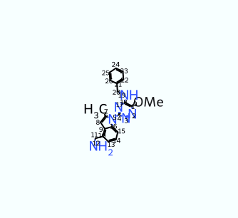 COc1nnc(-n2c(C)cc3c(CN)cccc32)nc1NCc1ccccc1